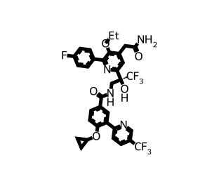 CCOc1c(CC(N)=O)cc([C@@](O)(CNC(=O)c2ccc(OC3CC3)c(-c3ccc(C(F)(F)F)cn3)c2)C(F)(F)F)nc1-c1ccc(F)cc1